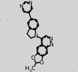 CC1Oc2cc3nncc(N4CCc5cc(-c6cncnc6)ccc54)c3cc2O1